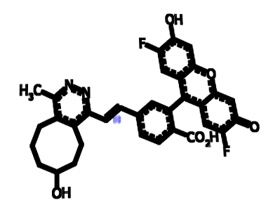 Cc1nnc(/C=C/c2ccc(C(=O)O)c(-c3c4cc(F)c(=O)cc-4oc4cc(O)c(F)cc34)c2)c2c1CCCC(O)CC2